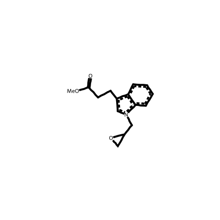 COC(=O)CCc1cn(CC2CO2)c2ccccc12